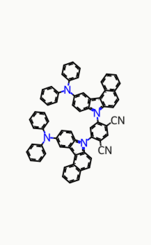 N#Cc1cc(C#N)c(-n2c3ccc(N(c4ccccc4)c4ccccc4)cc3c3c4ccccc4ccc32)cc1-n1c2ccc(N(c3ccccc3)c3ccccc3)cc2c2c3ccccc3ccc21